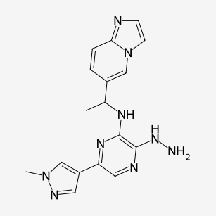 CC(Nc1nc(-c2cnn(C)c2)cnc1NN)c1ccc2nccn2c1